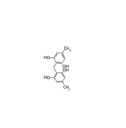 Cc1cc(O)c(Cc2c(O)cc(C)cc2O)c(O)c1